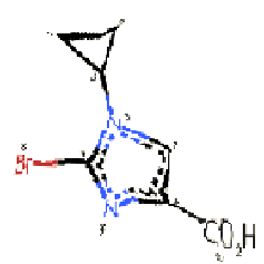 O=C(O)c1cn(C2CC2)c(Br)n1